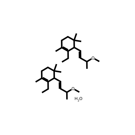 CCC1=C(C)CCC(C)(C)C1C=CC(C)OC.CCC1=C(C)CCC(C)(C)C1C=CC(C)OC.O